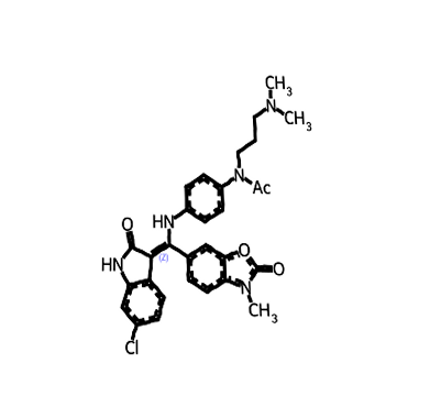 CC(=O)N(CCCN(C)C)c1ccc(N/C(=C2\C(=O)Nc3cc(Cl)ccc32)c2ccc3c(c2)oc(=O)n3C)cc1